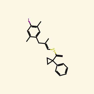 C=C(S/C=C(\C)Cc1cc(C)c(I)cc1C)C1(c2ccccc2)CC1